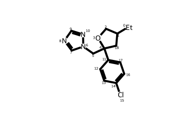 CCC1COC(Cn2cncn2)(c2ccc(Cl)cc2)C1